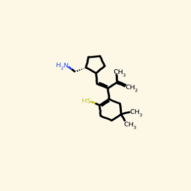 C=C(C)/C(=C\C1CCC[C@H]1CN)C1=C(S)CCC(C)(C)C1